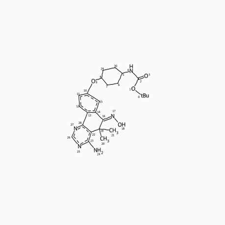 CC(C)(C)OC(=O)NC1CCC(Oc2ccc3c(c2)C(=NO)C(C)(C)c2c(N)ncnc2-3)CC1